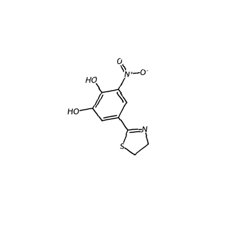 O=[N+]([O-])c1cc(C2=NCCS2)cc(O)c1O